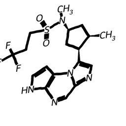 C[C@@H]1C[C@H](N(C)S(=O)(=O)CCC(F)(F)F)C[C@@H]1c1cnc2cnc3[nH]ccc3n12